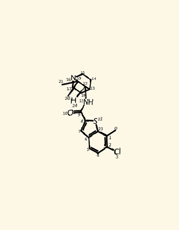 Cc1c(Cl)ccc2cc(C(=O)N[C@H]3C4CCN(CC4)C3(C)C)sc12